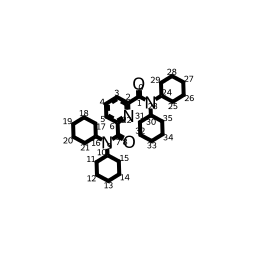 O=C(c1cccc(C(=O)N(C2CCCCC2)C2CCCCC2)n1)N(C1CCCCC1)C1CCCCC1